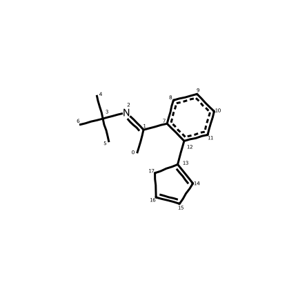 C/C(=N\C(C)(C)C)c1ccccc1C1=CC=CC1